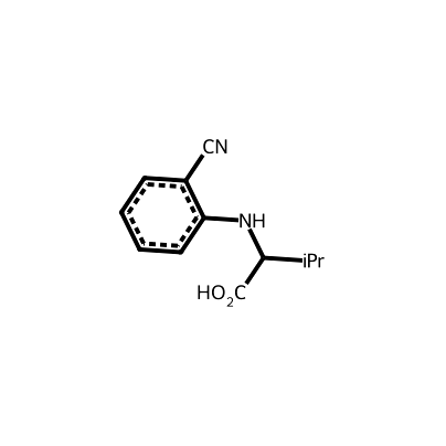 CC(C)C(Nc1ccccc1C#N)C(=O)O